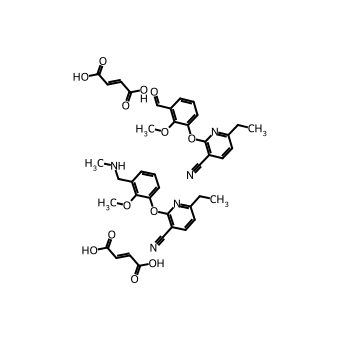 CCc1ccc(C#N)c(Oc2cccc(C=O)c2OC)n1.CCc1ccc(C#N)c(Oc2cccc(CNC)c2OC)n1.O=C(O)C=CC(=O)O.O=C(O)C=CC(=O)O